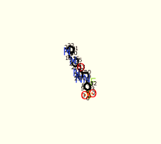 CS(=O)(=O)c1ccc(N2CCc3c(OC4CCN(Cc5ccccn5)CC4)ncnc32)c(F)c1